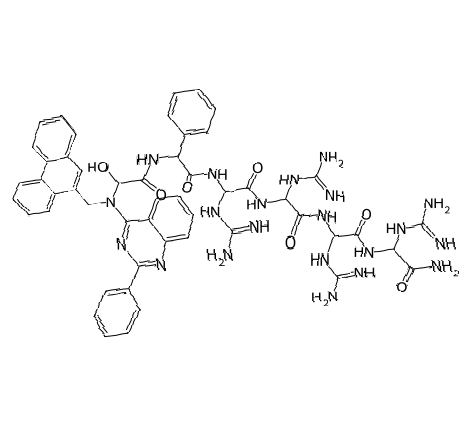 N=C(N)NC(NC(=O)C(NC(=N)N)NC(=O)C(NC(=N)N)NC(=O)C(NC(=N)N)NC(=O)C(NC(=O)C(O)N(Cc1cc2ccccc2c2ccccc12)c1nc(-c2ccccc2)nc2ccccc12)c1ccccc1)C(N)=O